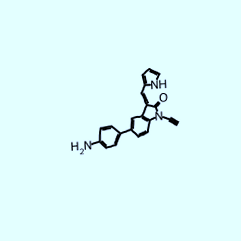 C#CN1C(=O)/C(=C\c2ccc[nH]2)c2cc(-c3ccc(N)cc3)ccc21